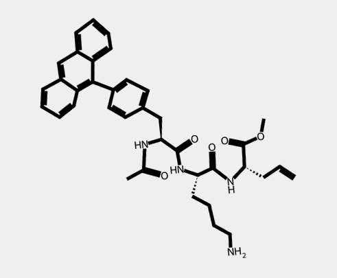 C=CC[C@H](NC(=O)[C@H](CCCCN)NC(=O)[C@H](Cc1ccc(-c2c3ccccc3cc3ccccc23)cc1)NC(C)=O)C(=O)OC